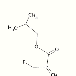 C=C(CF)C(=O)OCC(C)C